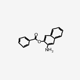 Nc1cc2ccccc2cc1OC(=O)c1ccccc1